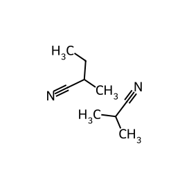 CC(C)C#N.CCC(C)C#N